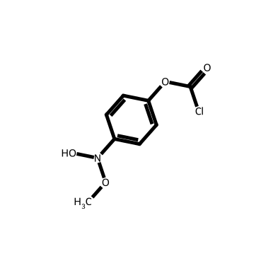 CON(O)c1ccc(OC(=O)Cl)cc1